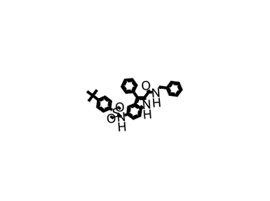 CC(C)(C)c1ccc(S(=O)(=O)Nc2ccc3[nH]c(C(=O)NCc4ccccc4)c(-c4ccccc4)c3c2)cc1